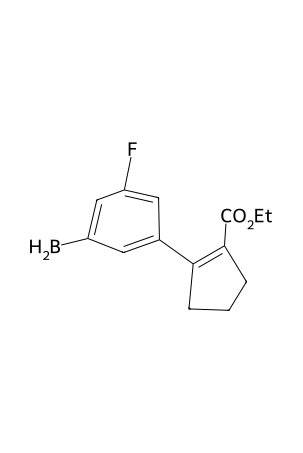 Bc1cc(F)cc(C2=C(C(=O)OCC)CCC2)c1